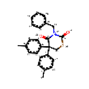 Cc1ccc(C2(c3ccc(C)cc3)CSC(=O)N(Cc3ccccc3)C2=O)cc1